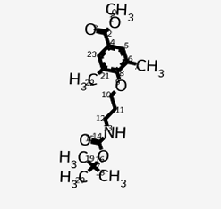 COC(=O)c1cc(C)c(OCCCNC(=O)OC(C)(C)C)c(C)c1